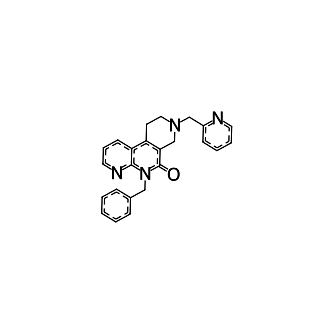 O=c1c2c(c3cccnc3n1Cc1ccccc1)CCN(Cc1ccccn1)C2